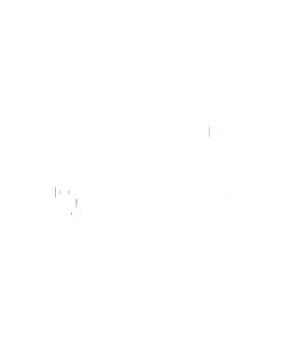 CCC/C=C\C/C=C\CCCCCCCCCCCC(=O)O